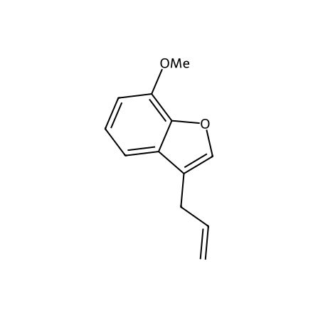 C=CCc1coc2c(OC)cccc12